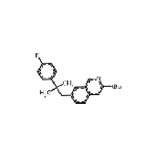 CC(C)(C)c1cc2ccc(CC(C)(C)c3ccc(F)cc3)cc2cn1